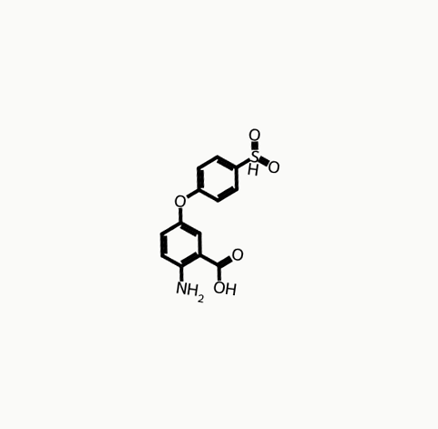 Nc1ccc(Oc2ccc([SH](=O)=O)cc2)cc1C(=O)O